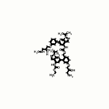 CCOC(=O)Nc1cc(-c2cc(OCC(O)CN)ccc2COC(=O)Nc2cc(-c3cccc(OCC(O)CNC)c3)nc3c2cnn3C(C)C)nc2c1cnn2C(C)C